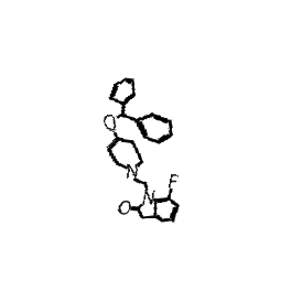 O=C1Cc2cccc(F)c2N1CCN1CCC(OC(c2ccccc2)c2ccccc2)CC1